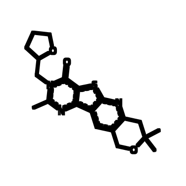 Cc1nc2c(sc3nc4c(cc32)COC(C)(C)C4)c(=O)n1CC1CCCO1